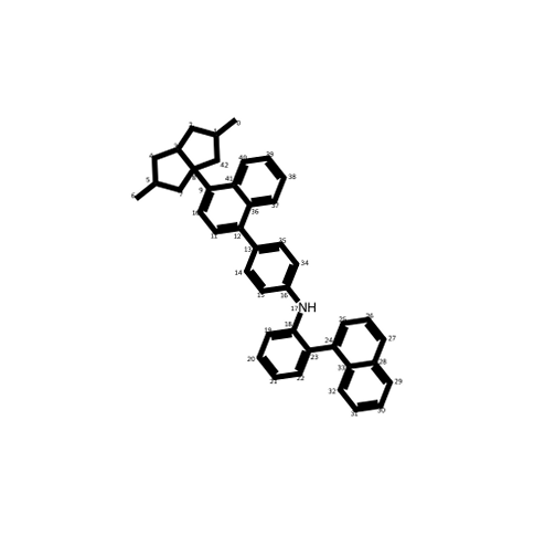 CC1CC2CC(C)CC2(c2ccc(-c3ccc(Nc4ccccc4-c4cccc5ccccc45)cc3)c3ccccc23)C1